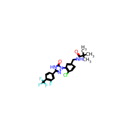 CC(C)(C)C(=O)NCc1ccc(Cl)c(-n2nc(-c3ccc(C(F)(F)F)c(F)c3)[nH]c2=O)c1